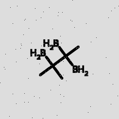 BC(B)(C)C(B)(C)C